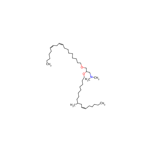 CCCCC/C=C\C/C=C\CCCCCCCCOCC(CN(C)C)OCCCCCCCCC(C)C/C=C\CCCCC